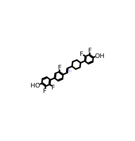 Oc1ccc(-c2ccc(/C=C/C3CCC(c4ccc(O)c(F)c4F)CC3)c(F)c2)c(F)c1F